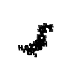 CC(C)c1ccc(S(=O)(=O)Nc2ccc(C3CCN(CC4CC4)C3)cc2)cc1